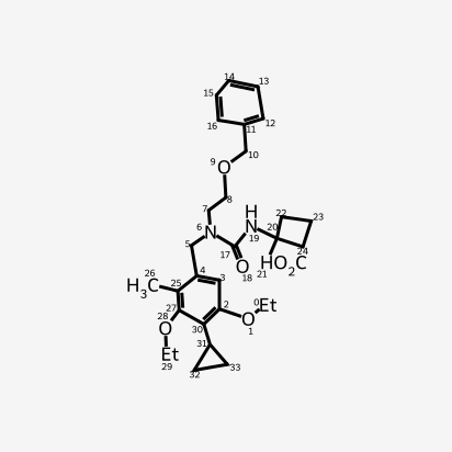 CCOc1cc(CN(CCOCc2ccccc2)C(=O)NC2(C(=O)O)CCC2)c(C)c(OCC)c1C1CC1